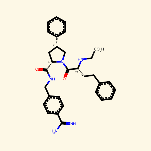 N=C(N)c1ccc(CNC(=O)[C@@H]2C[C@H](c3ccccc3)CN2C(=O)[C@@H](CCc2ccccc2)NCC(=O)O)cc1